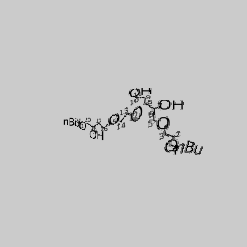 CCCCOCCOCC(O)C(CCO)OCCOCCC(O)COCCCC